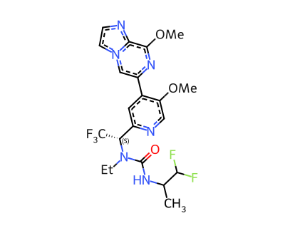 CCN(C(=O)NC(C)C(F)F)[C@@H](c1cc(-c2cn3ccnc3c(OC)n2)c(OC)cn1)C(F)(F)F